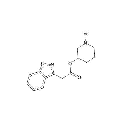 CCN1CCCC(OC(=O)Cc2noc3ccccc23)C1